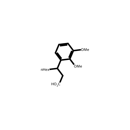 CCCCCCC(CC(=O)O)c1cccc(OC)c1OC